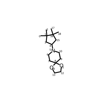 CC1(C)CC(N2CCC3(CC2)OCCO3)CC1(C)C